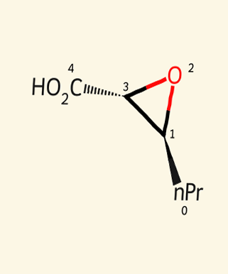 CCC[C@@H]1O[C@H]1C(=O)O